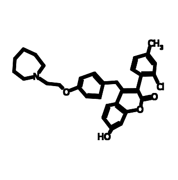 Cc1ccc(-c2c(Cc3ccc(OCCN4CCCCCC4)cc3)c3ccc(O)cc3oc2=O)c(Cl)c1